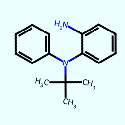 CC(C)(C)N(c1ccccc1)c1ccccc1N